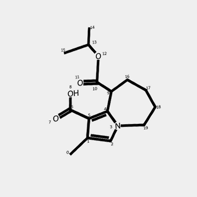 Cc1cn2c(c1C(=O)O)C(C(=O)OC(C)C)CCCC2